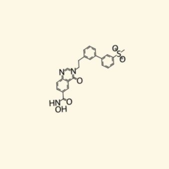 CS(=O)(=O)c1cccc(-c2cccc(CCn3cnc4ccc(C(=O)NO)cc4c3=O)c2)c1